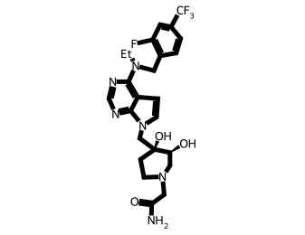 CCN(Cc1ccc(C(F)(F)F)cc1F)c1ncnc2c1ccn2C[C@@]1(O)CCN(CC(N)=O)C[C@@H]1O